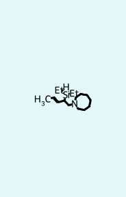 C/C=C/C(CN1CCCCCCC1)[SiH](CC)CC